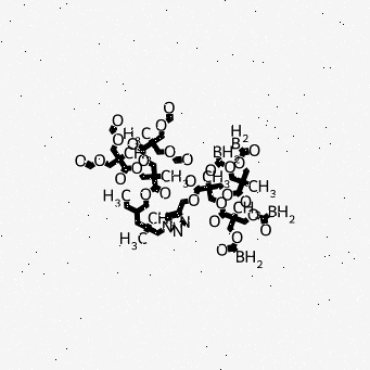 BC(=O)OCC(C)(COC(B)=O)C(=O)OCC(C)(COC(=O)C(C)(COC(B)=O)COC(B)=O)C(=O)OCc1cn(CC(C)(C)CC(CC)COC(=O)C(C)(COC(=O)C(C)(COC=O)COC=O)COC(=O)C(C)(COC=O)COC=O)nn1